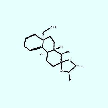 C[C@@H]1[C@H]2CC[C@]3(CO)CCCC=C3[C@]2(C)CCC12O[C@H](C)[C@@H](C)O2